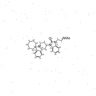 CNCCn1c(=O)n(C2CCN(C3(c4ccccc4)CCCCCC3)CC2)c2ccccc21